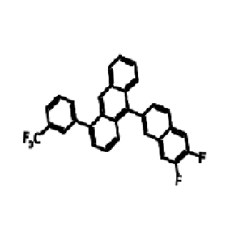 Fc1cc2ccc(-c3c4ccccc4cc4c(-c5cccc(C(F)(F)F)c5)cccc34)cc2cc1F